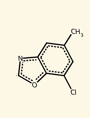 Cc1cc(Cl)c2o[c]nc2c1